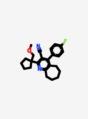 COCC1(c2nc3c(c(-c4ccc(F)cc4)c2C#N)CCCCC3)CCCC1